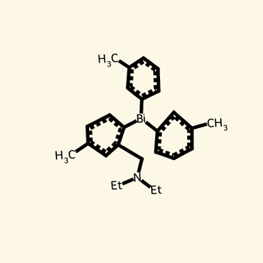 CCN(CC)Cc1cc(C)cc[c]1[Bi]([c]1cccc(C)c1)[c]1cccc(C)c1